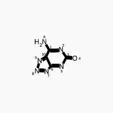 NC1=NC(=O)N=C2N=NN=C12